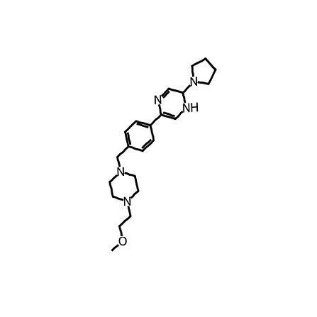 COCCN1CCN(Cc2ccc(C3=CNC(N4CCCC4)C=N3)cc2)CC1